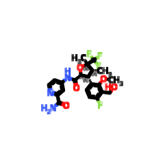 COc1c([C@@H]2[C@@H](C(=O)Nc3ccnc(C(N)=O)c3)O[C@](C)(C(F)(F)F)[C@@H]2C)ccc(F)c1CO